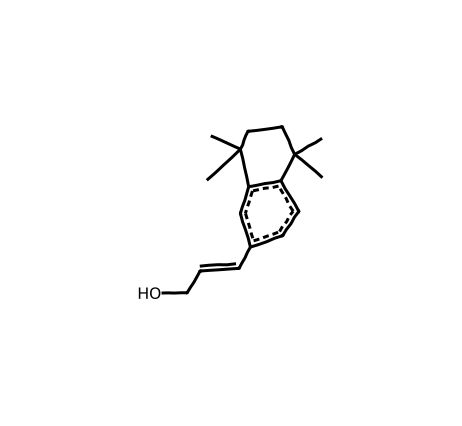 CC1(C)CCC(C)(C)c2cc(C=CCO)ccc21